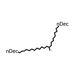 [CH2]C(CCCCCCCCCCCCCCCCCCC)CCCCCCCCCCCCCCCCCCCCCC